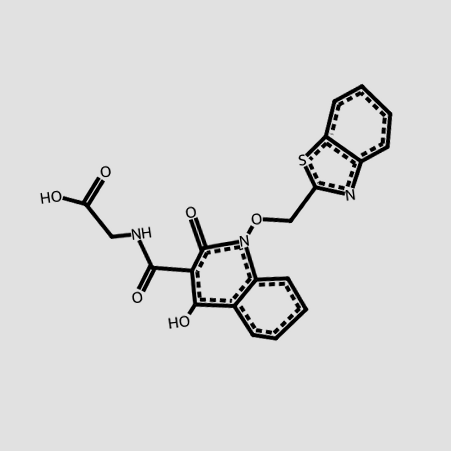 O=C(O)CNC(=O)c1c(O)c2ccccc2n(OCc2nc3ccccc3s2)c1=O